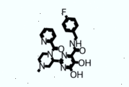 CN1CCN(C(=O)c2ccccn2)C(c2nc(O)c(O)c(C(=O)NCc3ccc(F)cc3)n2)C1